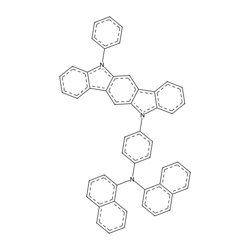 c1ccc(-n2c3ccccc3c3cc4c(cc32)c2ccccc2n4-c2ccc(N(c3cccc4ccccc34)c3cccc4ccccc34)cc2)cc1